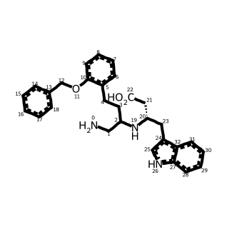 NCC(CCc1ccccc1OCc1ccccc1)N[C@H](CC(=O)O)Cc1c[nH]c2ccccc12